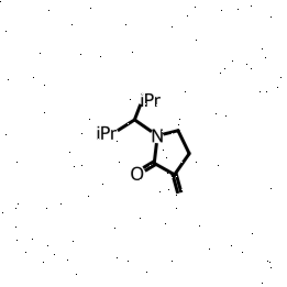 C=C1CCN(C(C(C)C)C(C)C)C1=O